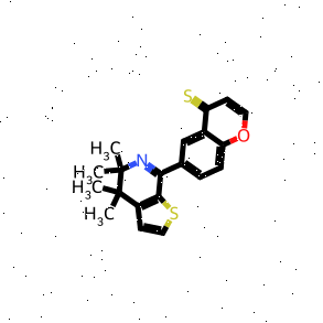 CC1(C)N=C(c2ccc3occc(=S)c3c2)c2sccc2C1(C)C